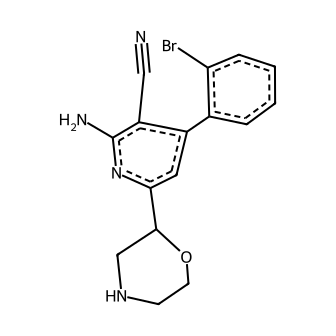 N#Cc1c(-c2ccccc2Br)cc(C2CNCCO2)nc1N